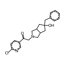 O=C(CN1CC2CC(O)(Cc3ccccc3)CC2C1)c1ccc(Cl)nc1